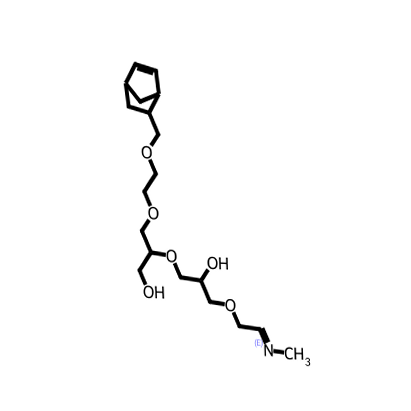 C/N=C/COCC(O)COC(CO)COCCOCC1CC2C=CC1C2